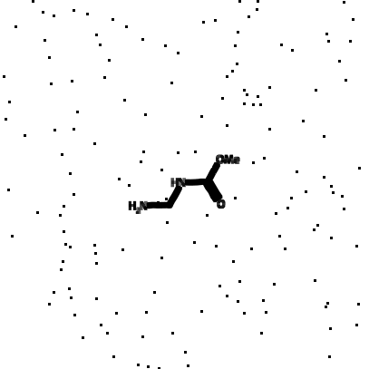 COC(=O)NCN